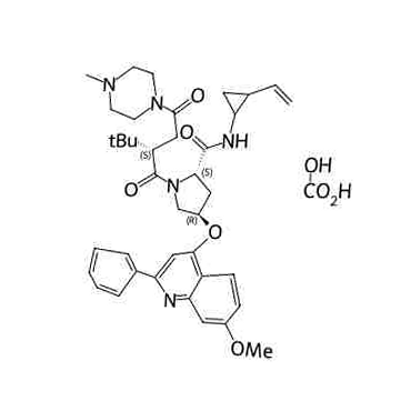 C=CC1CC1NC(=O)[C@@H]1C[C@@H](Oc2cc(-c3ccccc3)nc3cc(OC)ccc23)CN1C(=O)[C@@H](CC(=O)N1CCN(C)CC1)C(C)(C)C.O=C(O)O